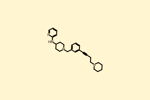 C(#Cc1cccc(CN2CCC(Nc3ccccn3)CC2)c1)CCN1CCCCC1